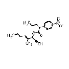 C#CC(OC(=O)C(CCC)c1ccc([N+](=O)[O-])cc1)C(C)=CCC=C